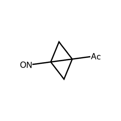 CC(=O)C12CC1(N=O)C2